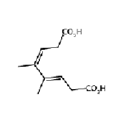 CC(=CCC(=O)O)C(C)=CCC(=O)O